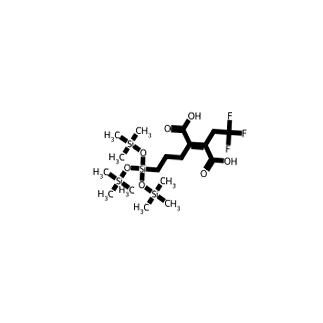 C[Si](C)(C)O[Si](CCCC(C(=O)O)=C(CC(F)(F)F)C(=O)O)(O[Si](C)(C)C)O[Si](C)(C)C